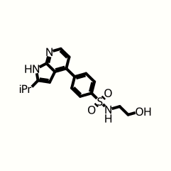 CC(C)c1cc2c(-c3ccc(S(=O)(=O)NCCO)cc3)ccnc2[nH]1